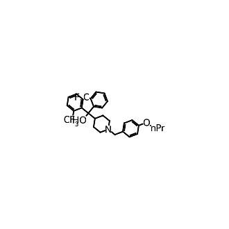 CCCOc1ccc(CN2CCC(C(O)(c3ccccc3C(F)(F)F)c3ccccc3C(F)(F)F)CC2)cc1